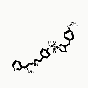 COc1ccc(CC2CCN(S(=O)(=O)Nc3ccc(CCNC[C@@H](O)c4cccnc4)cc3)C2)cc1